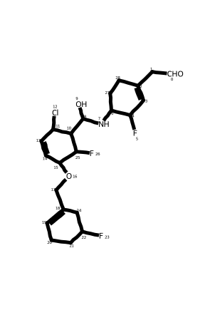 O=CCC1=CC(F)C(NC(O)C2C(Cl)C=CC(OCC3=CCCC(F)C3)C2F)CC1